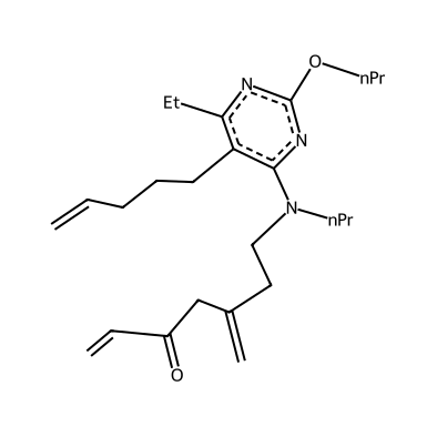 C=CCCCc1c(CC)nc(OCCC)nc1N(CCC)CCC(=C)CC(=O)C=C